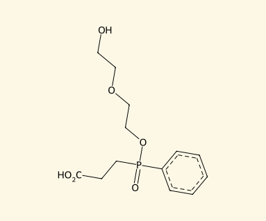 O=C(O)CCP(=O)(OCCOCCO)c1ccccc1